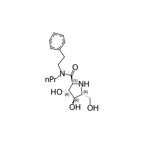 CCCN(CCc1ccccc1)C(=O)[C@H]1N[C@H](CO)[C@@H](O)[C@@H]1O